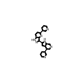 c1cncc(-c2ccc3[nH]nc(-c4cc5c(-c6cccnc6)cncc5[nH]4)c3n2)c1